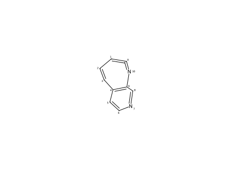 C1=CC=Cc2ccncc2N=1